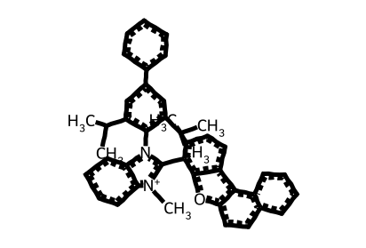 Cc1ccc2c(oc3ccc4ccccc4c32)c1-c1n(-c2c(C(C)C)cc(-c3ccccc3)cc2C(C)C)c2ccccc2[n+]1C